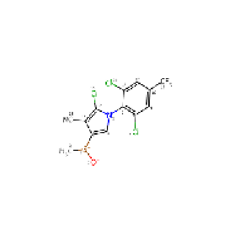 C[S+]([O-])c1cn(-c2c(Cl)cc(C(F)(F)F)cc2Cl)c(Cl)c1C#N